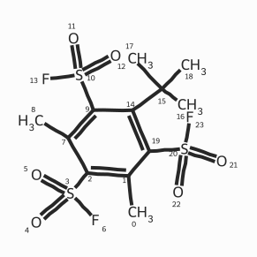 Cc1c(S(=O)(=O)F)c(C)c(S(=O)(=O)F)c(C(C)(C)C)c1S(=O)(=O)F